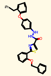 CC(C)Cc1ccccc1Oc1ccc(NNC(=O)c2csc(-c3ccccc3OCc3ccccc3)n2)cc1